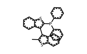 Cc1sc2ccccc2c1-c1c(P(c2ccccc2)c2ccccc2)sc2ccccc12